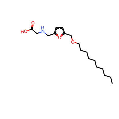 CCCCCCCCCCOCc1ccc(CNCC(=O)O)o1